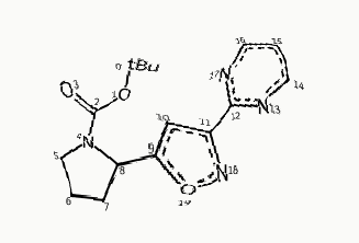 CC(C)(C)OC(=O)N1CCCC1c1cc(-c2ncccn2)no1